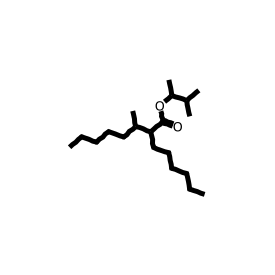 CCCCCCC(C(=O)OC(C)C(C)C)C(C)CCCCC